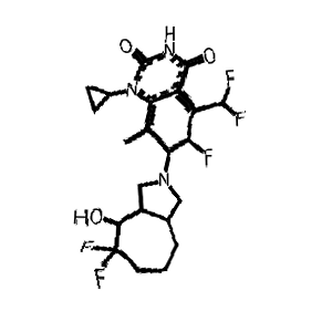 CC1=c2c(c(=O)[nH]c(=O)n2C2CC2)=C(C(F)F)C(F)C1N1CC2CCCC(F)(F)C(O)C2C1